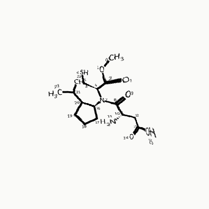 COC(=O)[C@H](CS)N(C(=O)[C@@H](N)CC(=O)O)[C@H]1CCCC1C(C)C